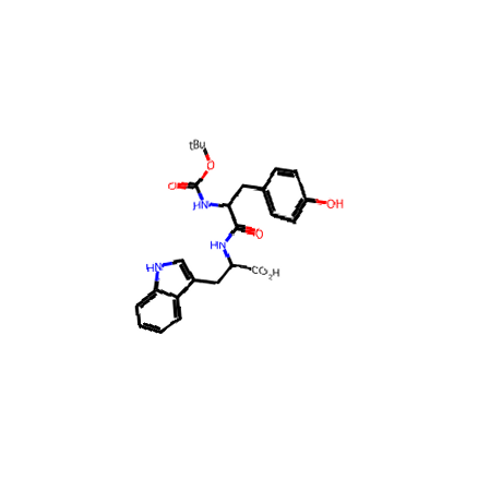 CC(C)(C)OC(=O)NC(Cc1ccc(O)cc1)C(=O)NC(Cc1c[nH]c2ccccc12)C(=O)O